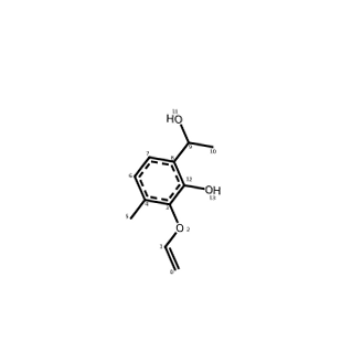 C=COc1c(C)ccc(C(C)O)c1O